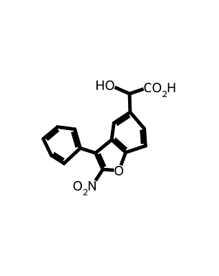 O=C(O)C(O)c1ccc2oc([N+](=O)[O-])c(-c3ccccc3)c2c1